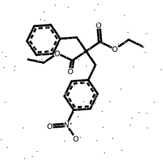 CCOC(=O)C(Cc1ccccc1)(Cc1ccc([N+](=O)[O-])cc1)C(=O)OCC